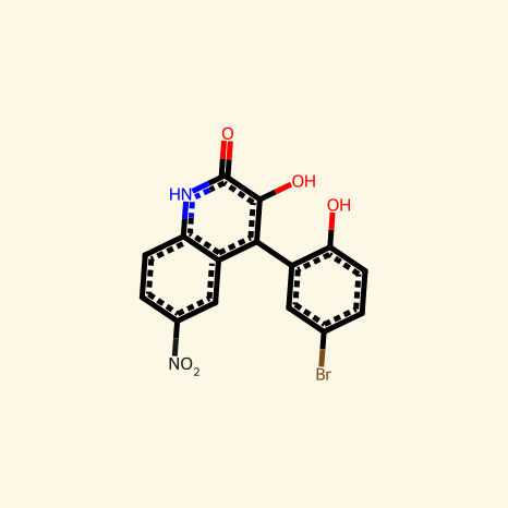 O=c1[nH]c2ccc([N+](=O)[O-])cc2c(-c2cc(Br)ccc2O)c1O